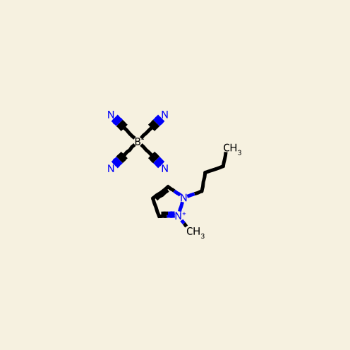 CCCCn1ccc[n+]1C.N#C[B-](C#N)(C#N)C#N